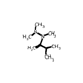 C=C(C(C)C)N(C)N(C)C